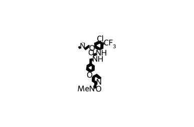 CNC(=O)c1cc(Oc2ccc(CNC(=O)Nc3cc(C(F)(F)F)c(Cl)cc3OCCN(C)C)cc2)ccn1